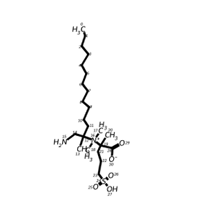 CCCCCCCCCCCCC(C)(CN)[N+](C)(C)C(C)(CCCS(=O)(=O)O)C(=O)[O-]